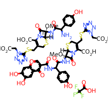 CO[C@@]1(NC(=O)C(N)c2ccc(O)cc2)C(=O)N2C(C(=O)O)=C(CSc3nnnn3CC(=O)O)CS[C@H]21.CO[C@@]1(NC(=O)C(NC(=O)c2coc3cc(O)c(O)cc3c2=O)c2ccc(O)cc2)C(=O)N2C(C(=O)O)=C(CSc3nnnn3CC(=O)O)CS[C@H]21.O=C(O)C(F)(F)F